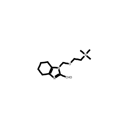 C[Si](C)(C)CCOCn1c(C=O)nc2c1CCCC2